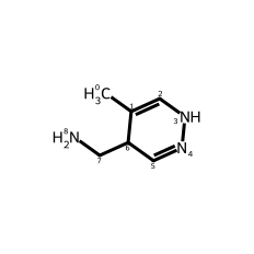 CC1=CNN=CC1CN